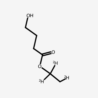 [2H]CC([2H])([2H])OC(=O)CCCO